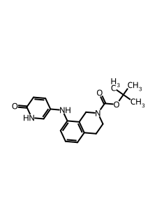 CC(C)(C)OC(=O)N1CCc2cccc(Nc3ccc(=O)[nH]c3)c2C1